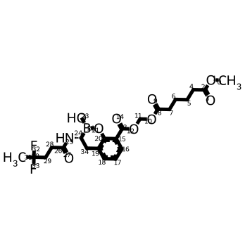 COC(=O)CCCCC(=O)OCOC(=O)c1cccc2c1OB(O)[C@@H](NC(=O)CCC(C)(F)F)C2